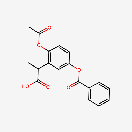 CC(=O)Oc1ccc(OC(=O)c2ccccc2)cc1C(C)C(=O)O